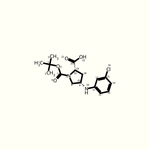 CC(C)(C)OC(=O)N1C[C@@H](Nc2cccc(Cl)c2)C[C@H]1C(=O)O